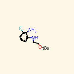 CC(C)(C)OCCNc1cccc(F)c1N